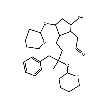 CC(CCC1C(OC2CCCCO2)CC(O)C1CC=O)(Cc1ccccc1)OC1CCCCO1